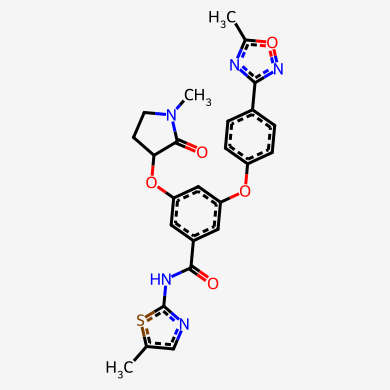 Cc1nc(-c2ccc(Oc3cc(OC4CCN(C)C4=O)cc(C(=O)Nc4ncc(C)s4)c3)cc2)no1